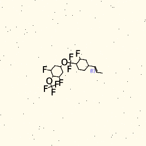 C/C=C/C1CCC(C(F)(F)OC2CC(F)C(OC(F)(F)F)C(F)C2)C(F)C1